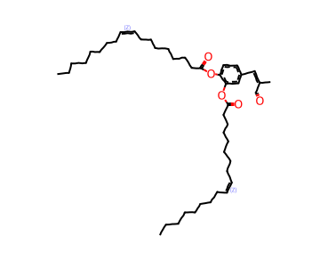 CCCCCCCC/C=C\CCCCCCCC(=O)Oc1ccc(C=C(C)C=O)cc1OC(=O)CCCCCCC/C=C\CCCCCCCC